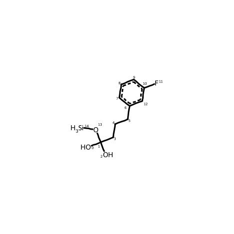 OC(O)(CCCc1cccc(F)c1)O[SiH3]